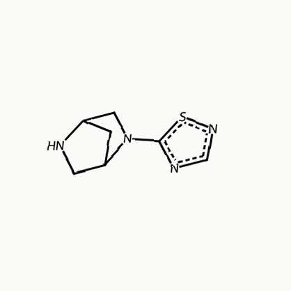 c1nsc(N2CC3CC2CN3)n1